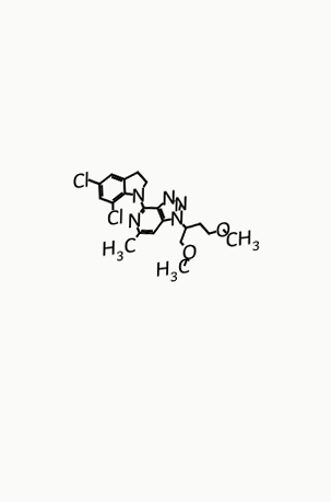 COCCC(COC)n1nnc2c(N3CCc4cc(Cl)cc(Cl)c43)nc(C)cc21